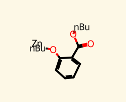 CCCCOC(=O)c1ccccc1OCCCC.[Zn]